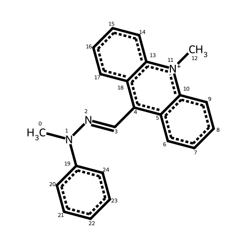 CN(/N=C/c1c2ccccc2[n+](C)c2ccccc12)c1ccccc1